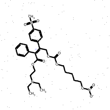 CCN(CC)CCOC(=O)/C(=C(\COC(=O)OCCCCCO[N+](=O)[O-])c1ccc(S(C)(=O)=O)cc1)c1ccccc1